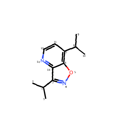 CC(C)c1noc2c(C(C)C)ccnc12